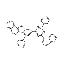 c1ccc(-c2nc(-c3cc(-c4ccccc4)c4c(c3)oc3c5ccccc5ccc34)nc(-c3cccc4ccccc34)n2)cc1